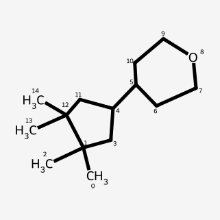 CC1(C)CC(C2CCOCC2)CC1(C)C